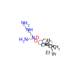 CC[C@H](/C=C/[C@@H](C)[C@H]1CC[C@H]2[C@@H]3CC=C4C[C@@H](OC(=O)N(CCCN)CCCCNCCCN)CC[C@]4(C)C3CC[C@]12C)C(C)C